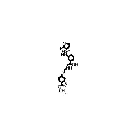 COc1n[nH]c2cc(OCCNCC(O)c3cccc(NS(=O)(=O)c4cccnc4F)c3)ccc12